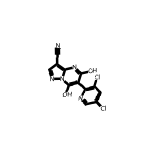 N#Cc1cnn2c(O)c(-c3ncc(Cl)cc3Cl)c(O)nc12